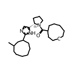 CC1CCCCCCC(c2ncc([C@@H]3CCCN3C(=O)C3CCCCCCCC3)[nH]2)C1